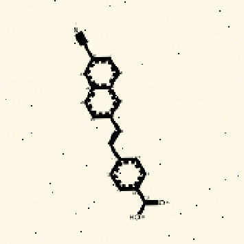 N#Cc1ccc2cc(/C=C/c3ccc(C(=O)O)cc3)ccc2c1